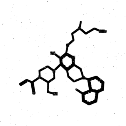 C=CC(=O)N1CCN(c2c(C#N)c(OCCN(C)CCOC)nc3c2CCN(c2cccc4cccc(C)c24)C3)CC1CC#N